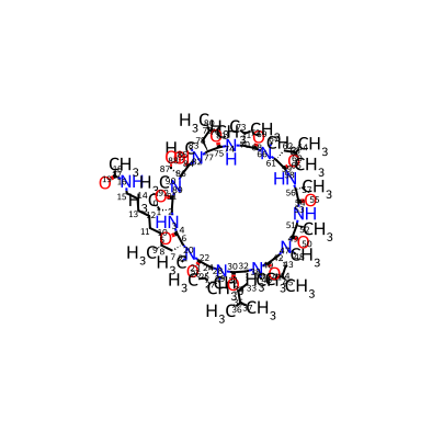 CC[C@H]1NC(=O)[C@@H](C[C@H](C)CCCCCCNC(C)=O)N(C)C(=O)[C@@H](C(C)C)N(C)C(=O)[C@@H](CCC(C)C)N(C)C(=O)[C@@H](CC(C)C)N(C)C(=O)[C@H](C)NC(=O)[C@@H](C)NC(=O)[C@@H](CC(C)C)N(C)C(=O)[C@@H](C(C)C)NC(=O)[C@H](CC(C)C)N(C)C(=O)[C@@H](CO)N(C)C1=O